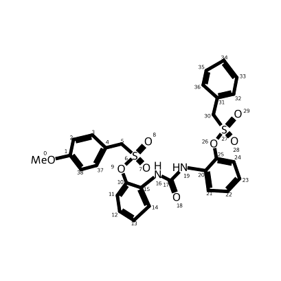 COc1ccc(CS(=O)(=O)Oc2ccccc2NC(=O)Nc2ccccc2OS(=O)(=O)Cc2ccccc2)cc1